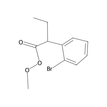 CCC(C(=O)OOC)c1ccccc1Br